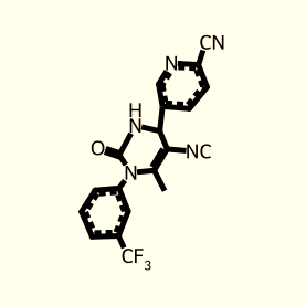 [C-]#[N+]C1=C(C)N(c2cccc(C(F)(F)F)c2)C(=O)NC1c1ccc(C#N)nc1